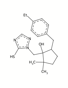 CCc1ccc(CC2CCC(C)(C)C2(O)Cn2ncnc2S)cc1